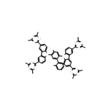 Cc1nc(C)nc(-c2ccc3c(c2)c2cc(-c4nc(C)nc(C)n4)ccc2n3-c2cc(-c3ccccc3C(F)(F)F)c(-n3c4ccc(-c5nc(C)nc(C)n5)cc4c4cc(-c5nc(C)nc(C)n5)ccc43)cc2C#N)n1